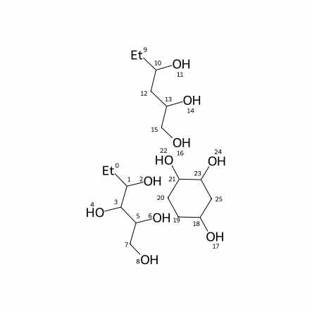 CCC(O)C(O)C(O)CO.CCC(O)CC(O)CO.OC1CCC(O)C(O)C1